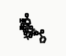 CC1(C)O[C@H]2[C@@H](O1)[C@](C#N)(n1ccc(=O)[nH]c1=O)O[C@@H]2COC(=O)c1ccccc1